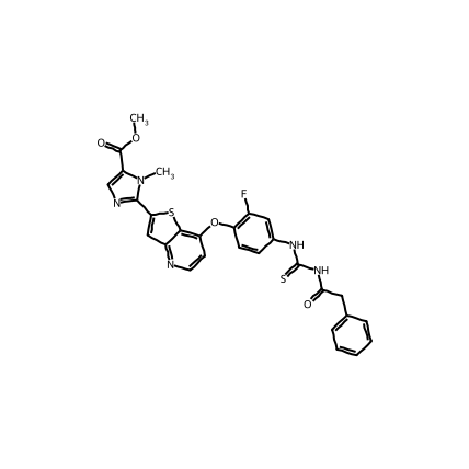 COC(=O)c1cnc(-c2cc3nccc(Oc4ccc(NC(=S)NC(=O)Cc5ccccc5)cc4F)c3s2)n1C